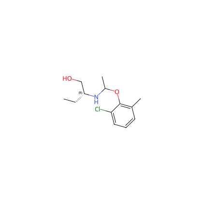 CC[C@H](CO)NC(C)Oc1c(C)cccc1Cl